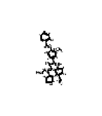 COc1cc(C(Nc2ccc(C#N)cc2)C(=O)N[C@H](CO)c2ccccc2)ccc1OCc1ccccc1